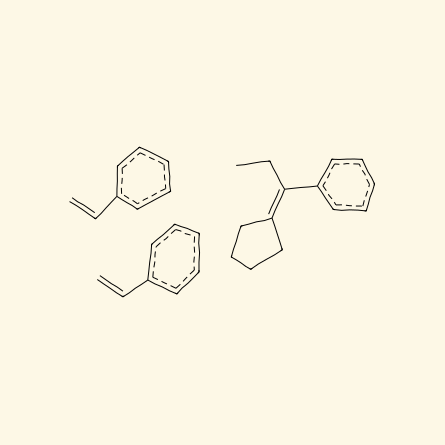 C=Cc1ccccc1.C=Cc1ccccc1.CCC(=C1CCCC1)c1ccccc1